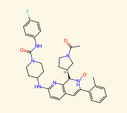 CC(=O)N1CC[C@H](C2c3nc(NC4CCN(C(=O)Nc5ccc(F)cc5)CC4)ccc3C=C(c3ccccc3C)[NH+]2[O-])C1